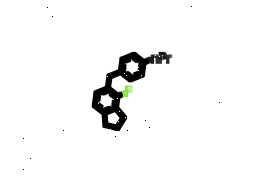 CCCc1ccc(Cc2ccc3c(c2F)CCC3)cc1